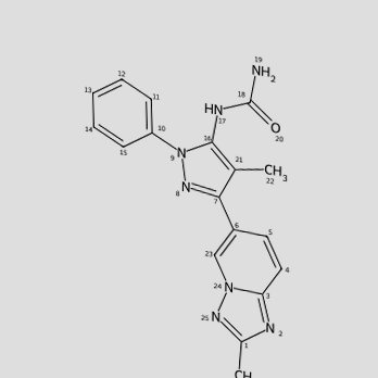 Cc1nc2ccc(-c3nn(-c4ccccc4)c(NC(N)=O)c3C)cn2n1